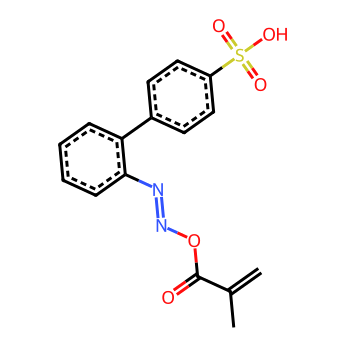 C=C(C)C(=O)ON=Nc1ccccc1-c1ccc(S(=O)(=O)O)cc1